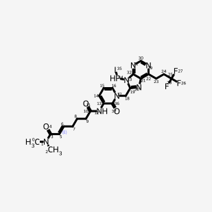 CN(C)C(=O)/C=C/CCCC(=O)Nc1cccn(Cc2nc3c(CCC(F)(F)F)ncnc3n2PI)c1=O